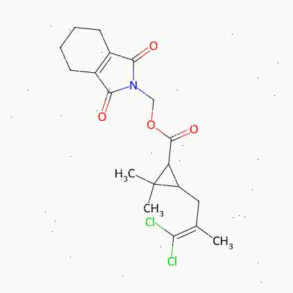 CC(CC1C(C(=O)OCN2C(=O)C3=C(CCCC3)C2=O)C1(C)C)=C(Cl)Cl